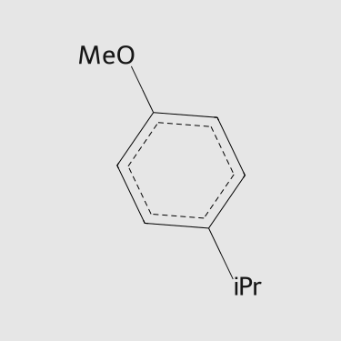 [CH2]Oc1ccc(C(C)C)cc1